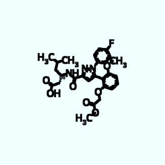 COC(=O)COc1cccc(OC)c1-c1cc(C(=O)N[C@H](CC(=O)O)CC(C)C)nn1-c1ccc(F)cc1